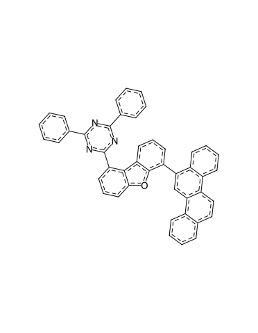 c1ccc(-c2nc(-c3ccccc3)nc(-c3cccc4oc5c(-c6cc7c8ccccc8ccc7c7ccccc67)cccc5c34)n2)cc1